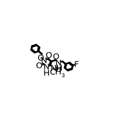 CNc1[nH]c(=O)n(OCc2ccccc2)c(=O)c1C(=O)NCc1cccc(F)c1